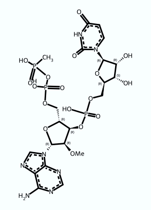 CO[C@@H]1[C@H](OP(=O)(O)OC[C@H]2O[C@@H](n3ccc(=O)[nH]c3=O)[C@H](O)[C@@H]2O)[C@@H](COP(=O)(O)OP(C)(=O)O)O[C@H]1n1cnc2c(N)ncnc21